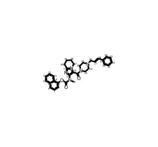 CN(C(=O)Oc1cccc2ccccc12)c1nc2n(c1C(=O)N1CCN(CC=Cc3ccccc3)CC1)CCCC2